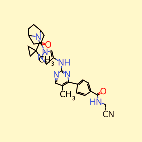 Cc1cnc(Nc2cnn(C3CC4CCC(C3)N4C(=O)C3(C)CC3)c2)nc1-c1ccc(C(=O)NCC#N)cc1